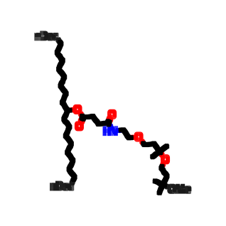 CCCCCCCCCCCCCCCCCCC(CCCCCCCCCCCCCCCCCC)OC(=O)CCC(=O)NCCOCCC(C)(C)OCCC(C)(C)OC